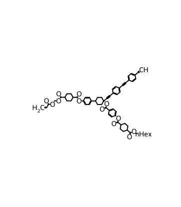 C#Cc1ccc(C#Cc2ccc(C#CC3(OC(=O)c4ccc(OC(=O)C5CCC(C(=O)OCCCCCC)CC5)cc4)CCC(c4ccc(OC(=O)C5CCC(C(=O)OCOC(=O)C=C)CC5)cc4)CC3)cc2)cc1